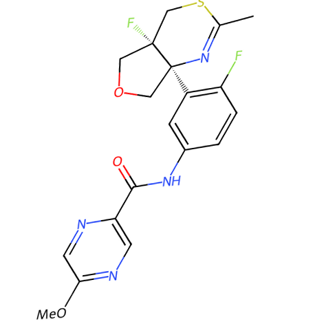 COc1cnc(C(=O)Nc2ccc(F)c([C@]34COC[C@@]3(F)CSC(C)=N4)c2)cn1